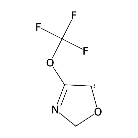 FC(F)(F)OC1=NCO[C]1